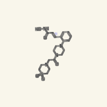 O=C(/C=C/c1ccccc1N1CCN(C(=O)CN2CCS(=O)(=O)CC2)CC1)NO